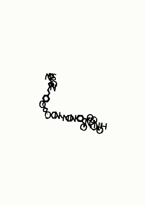 O=C1CCC(N2C(=O)c3ccc(N4CCN(CCN5CCC(O[C@H]6C[C@H](Oc7ccc(/C=C/c8cc(-c9nccs9)on8)cc7)C6)CC5)CC4)cc3C2=O)C(=O)N1